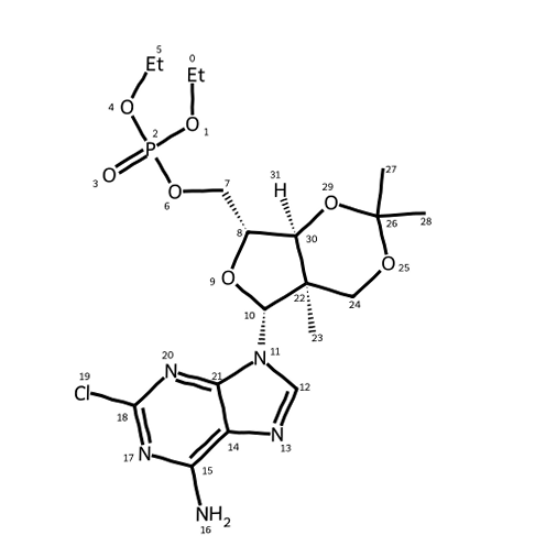 CCOP(=O)(OCC)OC[C@H]1O[C@@H](n2cnc3c(N)nc(Cl)nc32)[C@]2(C)COC(C)(C)O[C@H]12